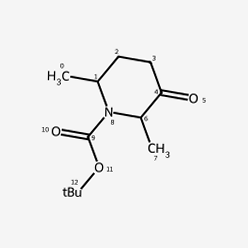 CC1CCC(=O)C(C)N1C(=O)OC(C)(C)C